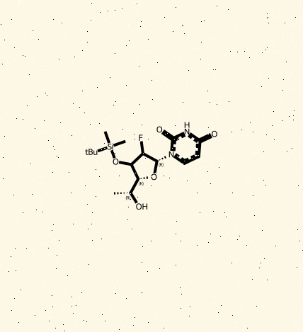 C[C@@H](O)[C@H]1O[C@@H](n2ccc(=O)[nH]c2=O)C(F)C1O[Si](C)(C)C(C)(C)C